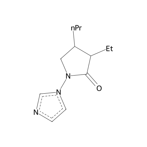 CCCC1CN(n2ccnc2)C(=O)C1CC